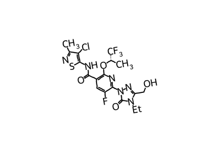 CCn1c(CO)nn(-c2nc(O[C@@H](C)C(F)(F)F)c(C(=O)Nc3snc(C)c3Cl)cc2F)c1=O